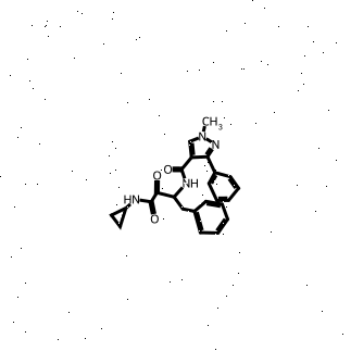 Cn1cc(C(=O)NC(Cc2ccccc2)C(=O)C(=O)NC2CC2)c(-c2ccccc2)n1